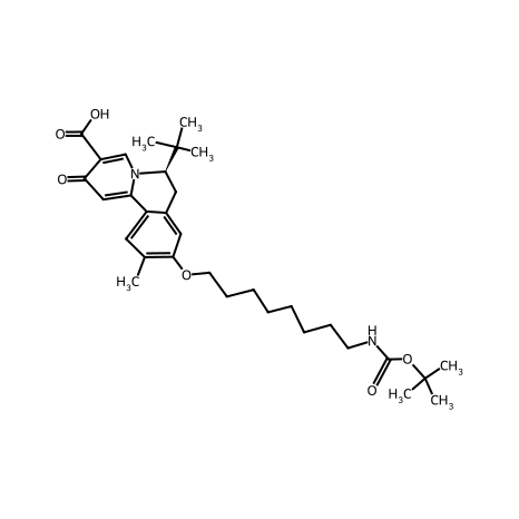 Cc1cc2c(cc1OCCCCCCCCNC(=O)OC(C)(C)C)C[C@H](C(C)(C)C)n1cc(C(=O)O)c(=O)cc1-2